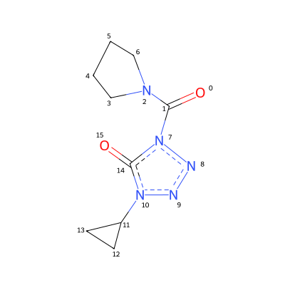 O=C(N1CCCC1)n1nnn(C2CC2)c1=O